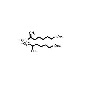 C=C(CCCCCCCCCCCCCC)C(=O)O.C=C(CCCCCCCCCCCCCCC)C(=O)O